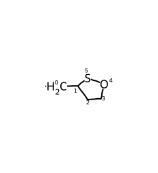 [CH2]C1CCOS1